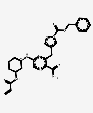 C=CC(=O)NC1CCC[C@@H](Nc2cnc(C(N)=O)c(Cc3cnn(C(=O)OCc4ccccc4)c3)n2)C1